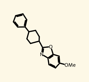 COc1ccc2nc(C3CCC(c4ccccc4)CC3)oc2c1